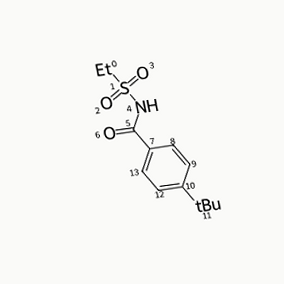 CCS(=O)(=O)NC(=O)c1ccc(C(C)(C)C)cc1